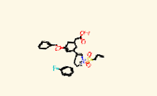 C=CCS(=O)(=O)N1CCCC(c2cc(CC(=O)O)cc(OCc3ccccc3)c2)C1.Fc1ccccc1